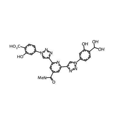 CNC(=O)c1cc(-c2cn(-c3ccc(C(=O)O)c(O)c3)nn2)nc(-c2cn(-c3ccc(C(O)O)c(O)c3)nn2)c1